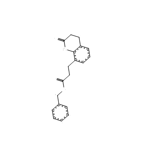 O=C1CCc2cccc(CCC(=O)OCc3ccccc3)c2N1